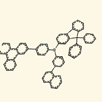 c1ccc(C2(c3ccccc3)c3ccccc3-c3ccc(N(c4ccc(-c5ccc6c7ccccc7c7ccccc7c6c5)cc4)c4cccc(-c5cccc6ccccc56)c4)cc32)cc1